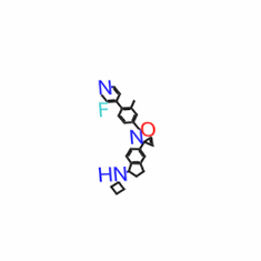 Cc1cc(C2=NC3(c4ccc5c(c4)CCC5NC4CCC4)C=C3O2)ccc1-c1ccncc1F